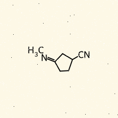 CN=C1CCC(C#N)C1